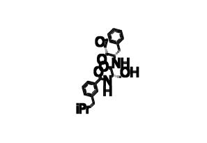 CC(C)Cc1cccc(C(=O)N[C@@H](CO)C(=O)N[C@@H](Cc2ccccc2)C(=O)[C@H]2CO2)c1